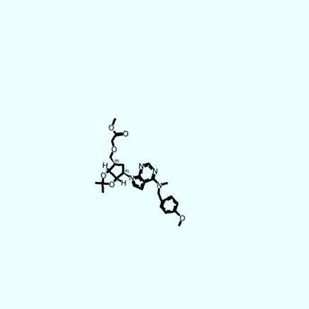 COC(=O)COC[C@H]1C[C@@H](n2ccc3c(N(C)Cc4ccc(OC)cc4)ncnc32)[C@@H]2OC(C)(C)O[C@H]12